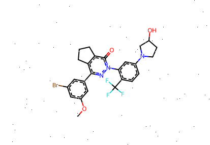 COc1cc(Br)cc(-c2nn(-c3cc(N4CCC(O)C4)ccc3C(F)(F)F)c(=O)c3c2CCC3)c1